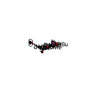 CC[C@H](C)[C@@H]([C@H](CC(=O)N1CCC[C@H]1[C@H](OC)[C@@H](C)C(=O)N[C@@H](Cc1ccccc1)C(=O)Nc1ccc(CNC(=O)CCCCCN2C(=O)C=CC2=O)cc1)OC)N(C)C(=O)[C@@H](/N=C(/N(C)C)N1CCN(C(=O)OC(C)(C)C)CC1)C(C)C